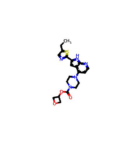 CCc1cnc(-c2cc3c(N4CCN(C(=O)OC5COC5)CC4)ccnc3[nH]2)s1